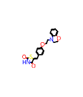 O=C1NC(=O)C(=Cc2ccc(OCCN3CCOc4ccccc43)cc2)S1